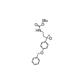 CC(C)(C)OC(=O)NCCC1(c2ccc(OCc3ccccc3)cc2)CO1